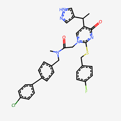 CC(c1cn[nH]c1)c1cn(CC(=O)N(C)Cc2ccc(-c3ccc(Cl)cc3)cc2)c(SCc2ccc(F)cc2)nc1=O